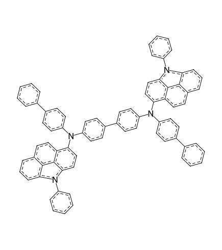 c1ccc(-c2ccc(N(c3ccc(-c4ccc(N(c5ccc(-c6ccccc6)cc5)c5ccc6c7c5ccc5cccc(c57)n6-c5ccccc5)cc4)cc3)c3ccc4c5c3ccc3cccc(c35)n4-c3ccccc3)cc2)cc1